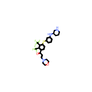 O=C(C=CN1CCOCC1)c1ccc(Sc2cccc(NC3CCCNC3)c2)c(C(F)(F)F)c1C(F)(F)F